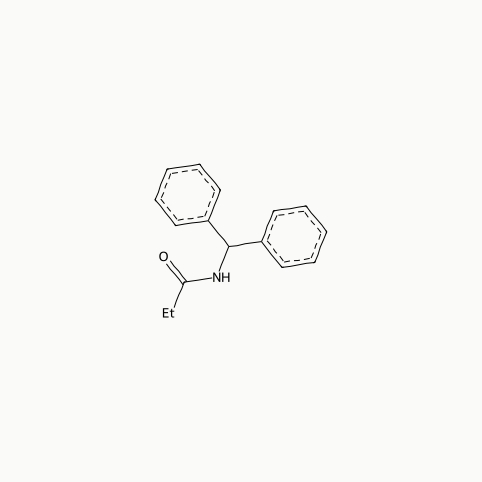 [CH2]CC(=O)NC(c1ccccc1)c1ccccc1